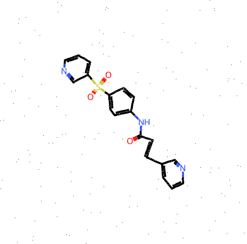 O=C(C=Cc1cccnc1)Nc1ccc(S(=O)(=O)c2cccnc2)cc1